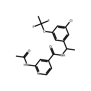 CC(=O)Nc1cc(C(=O)NC(C)c2cc(Cl)cc(OC(C)(F)F)c2)ccn1